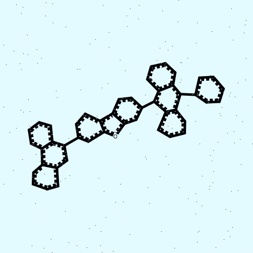 c1ccc(-c2c3ccccc3c(-c3ccc4c(c3)oc3cc(-c5cc6ccccc6c6ccccc56)ccc34)c3ccccc23)cc1